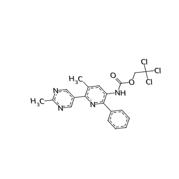 Cc1ncc(-c2nc(-c3ccccc3)c(NC(=O)OCC(Cl)(Cl)Cl)cc2C)cn1